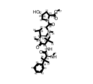 CN[C@H](C(=O)N[C@H](C(=O)N(C)[C@H](CN(C)CC(=O)N1C[C@H](O)CC1C(=O)OC)C(C)C)C(C)(C)C)C(C)(C)c1ccccc1